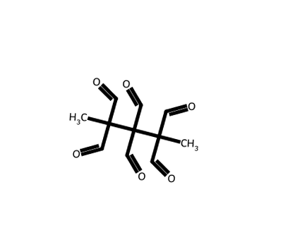 CC(C=O)(C=O)C(C=O)(C=O)C(C)(C=O)C=O